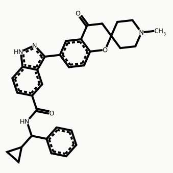 CN1CCC2(CC1)CC(=O)c1cc(-c3n[nH]c4ccc(C(=O)NC(c5ccccc5)C5CC5)cc34)ccc1O2